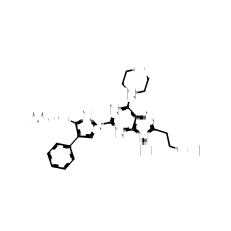 CCn1c(CCO)nc2c(N3CCOCC3)nc(-n3cc(-c4ccccc4)c(OC)n3)nc21